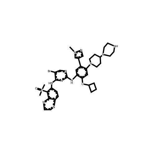 Cn1cc(-c2cc(Nc3ncc(Br)c(Nc4ccc5nccnc5c4P(C)(C)=O)n3)c(OC3CCC3)cc2N2CCC(N3CCNCC3)CC2)cn1